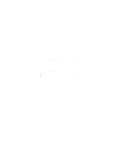 Cc1ccc(N(C)C(=O)Nc2cccnc2Oc2ccccc2C(C)(C)C)cc1